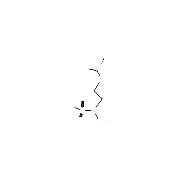 CC(C)(C)[C@@H](OCCN(C(C)(C)C)S(C)(=O)=O)C(F)(F)F